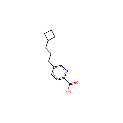 O=C(O)c1ccc(CCCC2CCC2)cn1